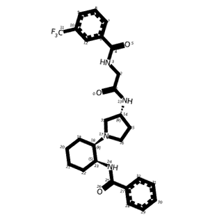 O=C(CNC(=O)c1cccc(C(F)(F)F)c1)N[C@@H]1CCN([C@@H]2CCCC[C@@H]2NC(=O)c2ccccc2)C1